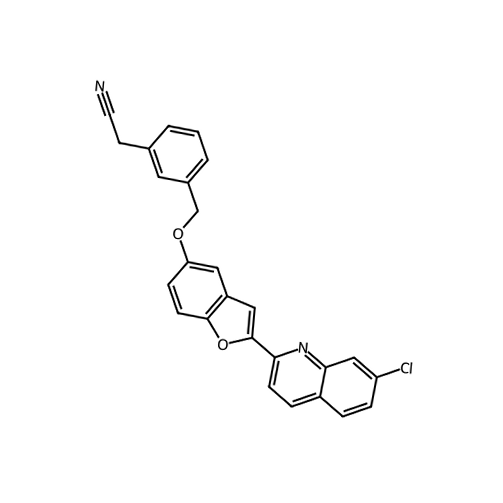 N#CCc1cccc(COc2ccc3oc(-c4ccc5ccc(Cl)cc5n4)cc3c2)c1